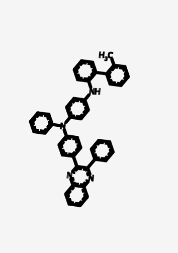 Cc1ccccc1-c1ccccc1Nc1ccc(N(c2ccccc2)c2ccc(-c3nc4ccccc4nc3-c3ccccc3)cc2)cc1